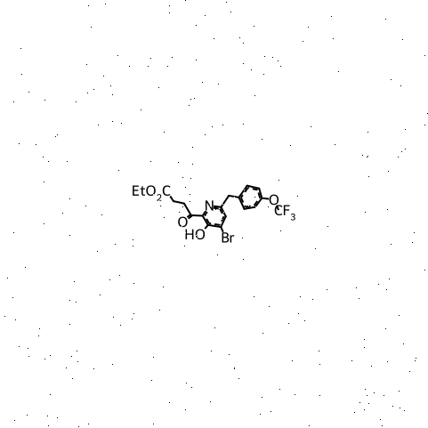 CCOC(=O)CCC(=O)c1nc(Cc2ccc(OC(F)(F)F)cc2)cc(Br)c1O